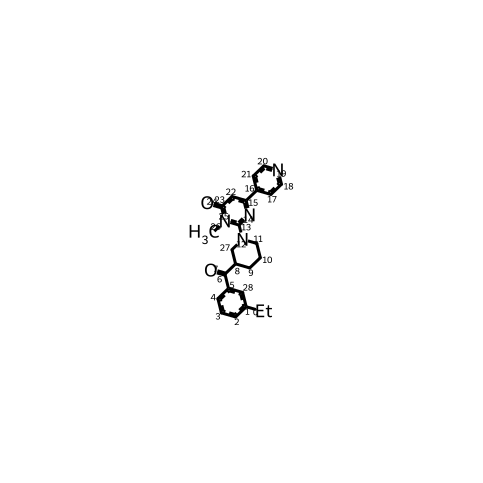 CCc1cccc(C(=O)C2CCCN(c3nc(-c4ccncc4)cc(=O)n3C)C2)c1